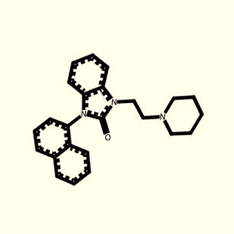 O=c1n(CCN2CCCCC2)c2ccccc2n1-c1cccc2ccccc12